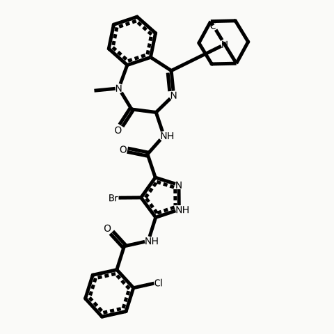 CN1C(=O)C(NC(=O)c2n[nH]c(NC(=O)c3ccccc3Cl)c2Br)N=C(N2CC3CCC(CC3)C2)c2ccccc21